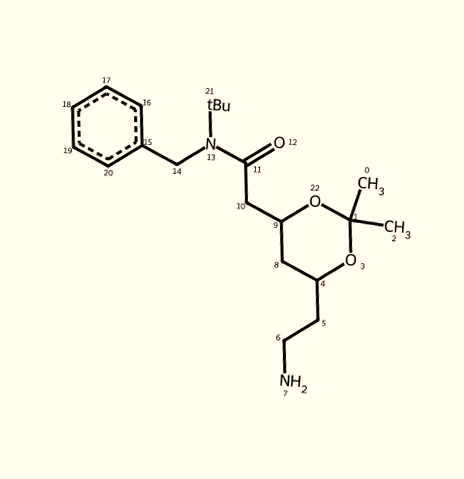 CC1(C)OC(CCN)CC(CC(=O)N(Cc2ccccc2)C(C)(C)C)O1